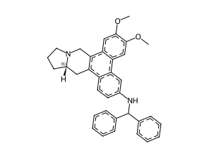 COc1cc2c3c(c4ccc(NC(c5ccccc5)c5ccccc5)cc4c2cc1OC)C[C@@H]1CCCN1C3